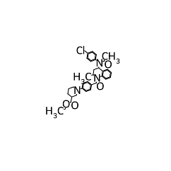 CCOC(=O)C1CCCN(c2ccc(C(=O)N3c4ccccc4C(N(C(C)=O)c4ccc(Cl)cc4)CC3C)cc2)C1